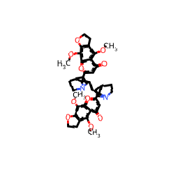 COc1c2c(c(OC)c3c(=O)cc(C4(CCC5(c6cc(=O)c7c(OC)c8c(c(OC)c7o6)OCC8)C6CCN5CC6)C5CCN4CC5)oc13)CCO2